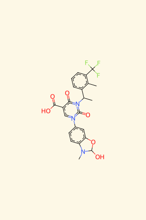 Cc1c(C(C)n2c(=O)c(C(=O)O)cn(-c3ccc4c(c3)OC(O)N4C)c2=O)cccc1C(F)(F)F